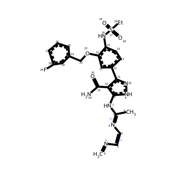 C=N/C=C\N=C(/C)Nc1[nH]nc(-c2ccc(NS(=O)(=O)CC)c(OCc3cccc(F)c3)c2)c1C(N)=O